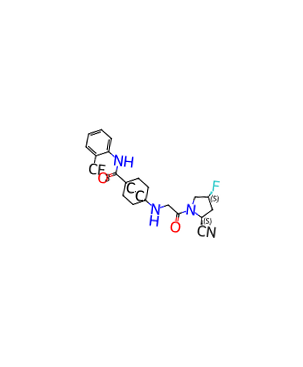 N#C[C@@H]1C[C@H](F)CN1C(=O)CNC12CCC(C(=O)Nc3ccccc3C(F)(F)F)(CC1)CC2